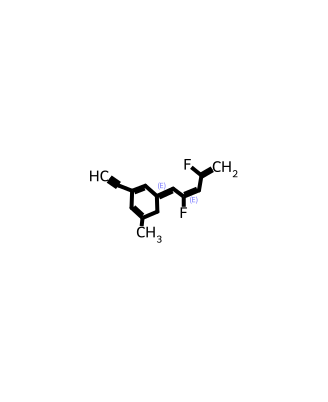 C#CC1=C/C(=C/C(F)=C\C(=C)F)CC(C)=C1